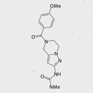 CNC(=O)Nc1cc2n(n1)CCN(C(=O)c1ccc(OC)cc1)C2